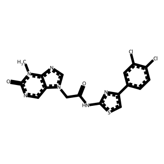 Cn1c(=O)ncc2c1ncn2CC(=O)Nc1nc(-c2ccc(Cl)c(Cl)c2)cs1